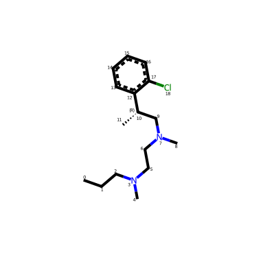 CCCN(C)CCN(C)C[C@H](C)c1ccccc1Cl